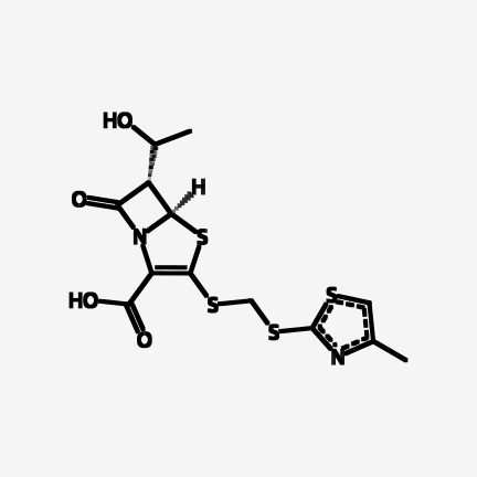 Cc1csc(SCSC2=C(C(=O)O)N3C(=O)[C@H](C(C)O)[C@H]3S2)n1